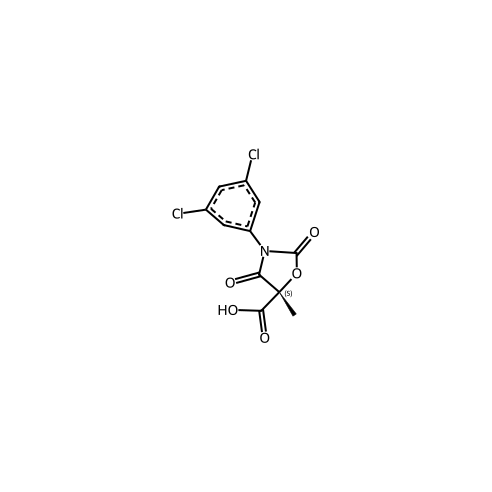 C[C@]1(C(=O)O)OC(=O)N(c2cc(Cl)cc(Cl)c2)C1=O